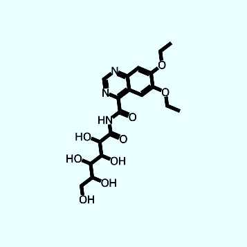 CCOc1cc2ncnc(C(=O)NC(=O)C(O)C(O)C(O)C(O)CO)c2cc1OCC